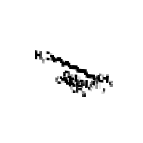 CCCCCCCCCCCCN(C)C.C[N+](C)(C)CC(=O)[O-]